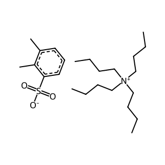 CCCC[N+](CCCC)(CCCC)CCCC.Cc1cccc(S(=O)(=O)[O-])c1C